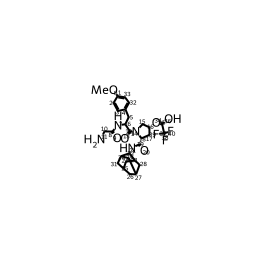 COc1ccc(CC(NC(=O)CN)C(=O)N2CCC[C@@H]2C(=O)NC2C3CC4CC(C3)CC2C4)cc1.O=C(O)C(F)(F)F